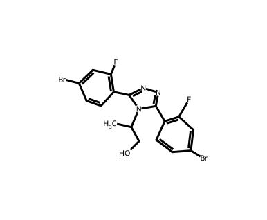 CC(CO)n1c(-c2ccc(Br)cc2F)nnc1-c1ccc(Br)cc1F